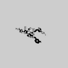 Cn1cnc(CCNc2nc(NCc3cccc(I)c3)c3ncn([C@@H]4O[C@H](c5nnn(C)n5)[C@H](O)[C@H]4OC=O)c3n2)c1